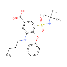 CCCCNc1cc(C(=O)O)cc(S(=O)(=O)NC(C)(C)C)c1Oc1ccccc1